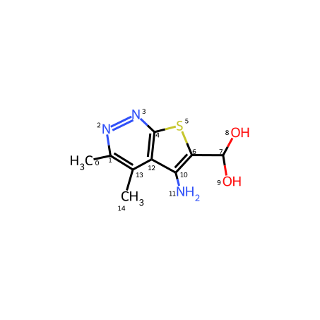 Cc1nnc2sc(C(O)O)c(N)c2c1C